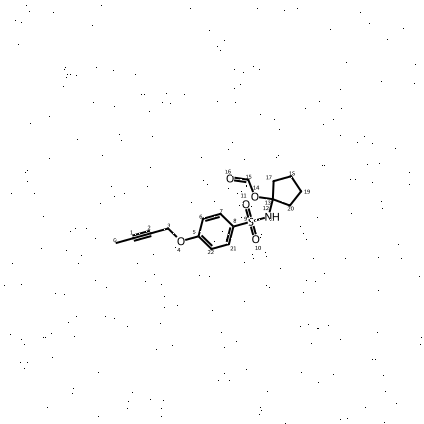 CC#CCOc1ccc(S(=O)(=O)NC2(OC=O)CCCC2)cc1